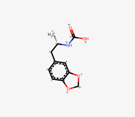 C[C@@H](Cc1ccc2c(c1)OCO2)NC(=O)O